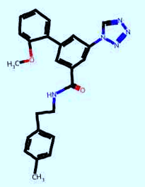 COc1ccccc1-c1cc(C(=O)NCCc2ccc(C)cc2)cc(-n2cnnn2)c1